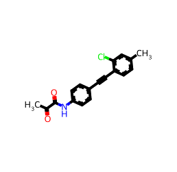 CC(=O)C(=O)Nc1ccc(C#Cc2ccc(C)cc2Cl)cc1